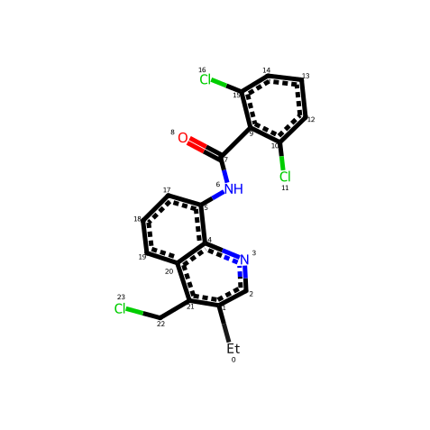 CCc1cnc2c(NC(=O)c3c(Cl)cccc3Cl)cccc2c1CCl